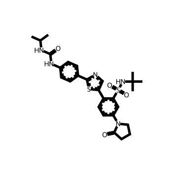 CC(C)NC(=O)Nc1ccc(-c2ncc(-c3ccc(N4CCCC4=O)cc3S(=O)(=O)NC(C)(C)C)s2)cc1